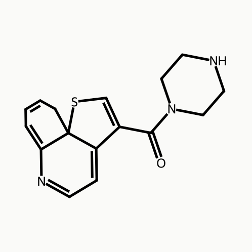 O=C(C1=CSC23CC=CC=C2N=CC=C13)N1CCNCC1